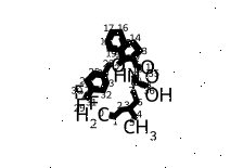 C=CCC(CC)CC[C@H](NC(=O)c1ccc2ccccc2c1OCc1ccc(C(F)(F)F)cc1)C(=O)O